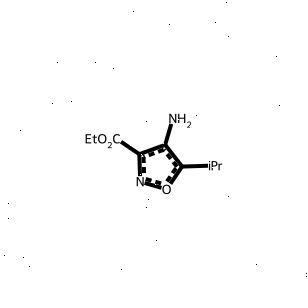 CCOC(=O)c1noc(C(C)C)c1N